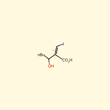 CCCCC(O)/C(=C/I)C(=O)O